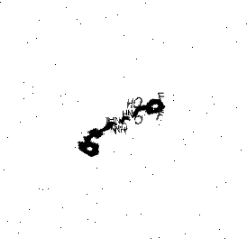 CC(C)(Cc1ccccc1)c1cc(NC(=O)CCNC(=O)[C@@H](O)c2cc(F)cc(F)c2)[nH]n1